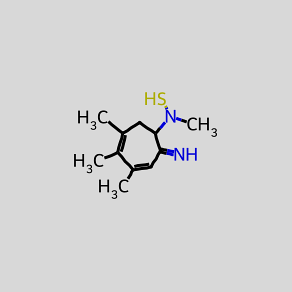 CC1=CC(=N)C(N(C)S)CC(C)=C1C